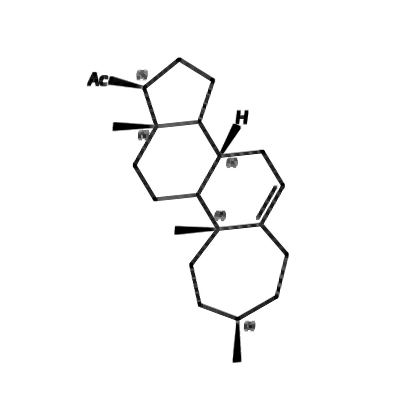 CC(=O)[C@H]1CCC2[C@@H]3CC=C4CC[C@@H](C)CC[C@]4(C)C3CC[C@@]21C